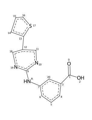 O=C(O)c1cccc(Nc2ncc(-c3cccs3)cn2)c1